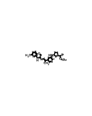 C=N/C(=N\C=C(/C)c1cncc(N[C@H]2CCN(C(=O)OC(C)(C)C)C2)c1)Nc1cccc(C)n1